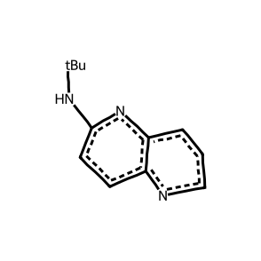 CC(C)(C)Nc1ccc2ncccc2n1